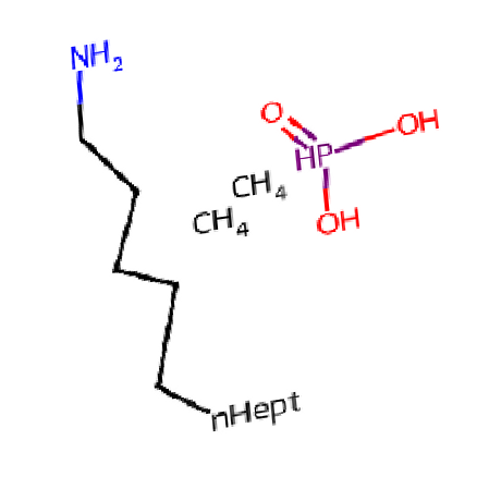 C.C.CCCCCCCCCCCCN.O=[PH](O)O